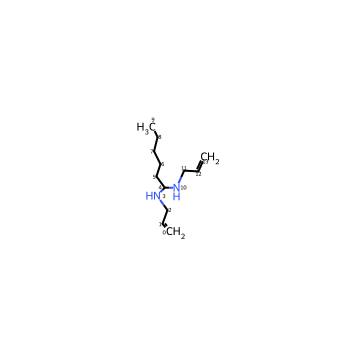 C=CCNC(CCCCC)NCC=C